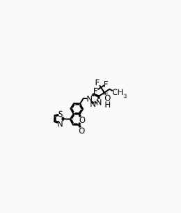 CC[C@](O)(c1cn(Cc2ccc3c(-c4nccs4)cc(=O)oc3c2)nn1)C(F)(F)F